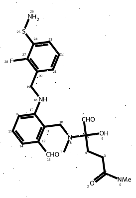 CNC(=O)CCC(O)(C=O)N(C)Cc1c(C=O)cccc1NCc1cccc(SN)c1F